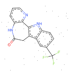 O=C1Cc2c([nH]c3ccc(C(F)(F)F)cc23)-c2ncccc2N1